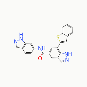 O=C(Nc1ccc2cn[nH]c2c1)c1cc(-c2cc3ccccc3s2)c2[nH]ncc2c1